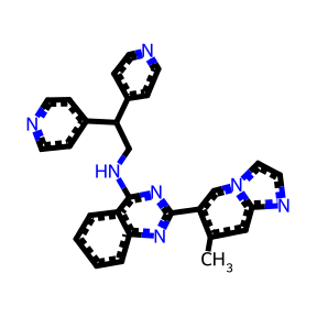 Cc1cc2nccn2cc1-c1nc(NCC(c2ccncc2)c2ccncc2)c2ccccc2n1